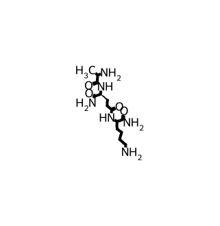 CC(N)C(=O)N[C@@H](CCC(=O)NC(CCCCN)C(N)=O)C(N)=O